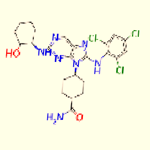 NC(=O)[C@H]1CC[C@@H](n2c(Nc3c(Cl)cc(Cl)cc3Cl)nc3cnc(N[C@@H]4CCCCC4O)nc32)CC1